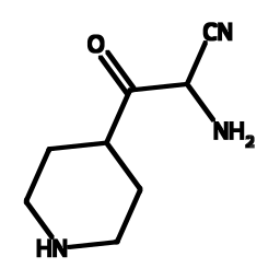 N#CC(N)C(=O)C1CCNCC1